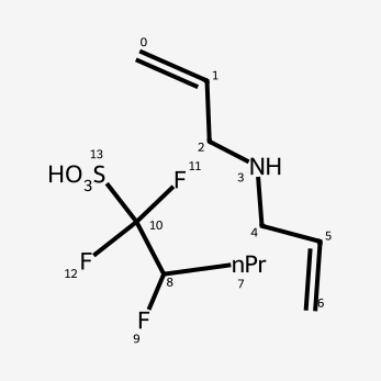 C=CCNCC=C.CCCC(F)C(F)(F)S(=O)(=O)O